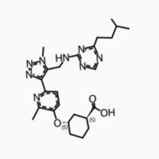 Cc1nc(-c2nnn(C)c2CNc2ncnc(CCC(C)C)n2)ccc1O[C@H]1CCC[C@H](C(=O)O)C1